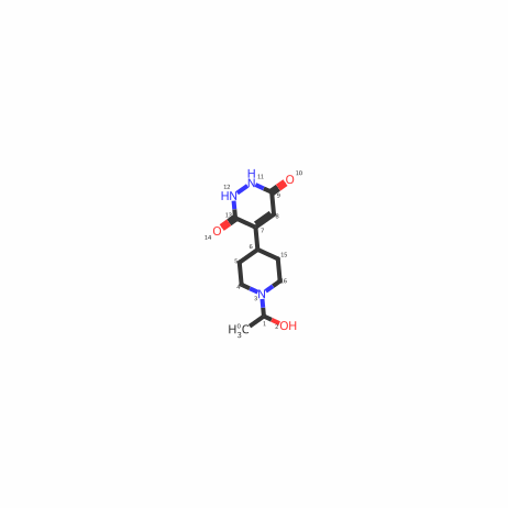 CC(O)N1CCC(c2cc(=O)[nH][nH]c2=O)CC1